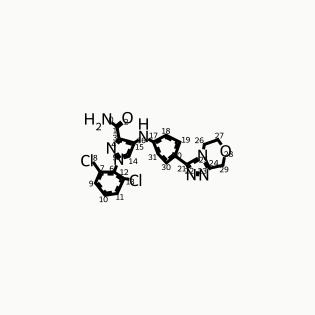 NC(=O)c1nn(-c2c(Cl)cccc2Cl)cc1Nc1ccc(-c2nnc3n2CCOC3)cc1